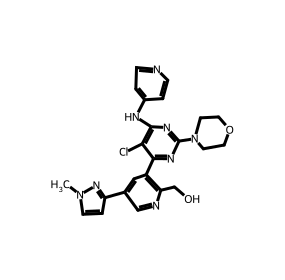 Cn1ccc(-c2cnc(CO)c(-c3nc(N4CCOCC4)nc(Nc4ccncc4)c3Cl)c2)n1